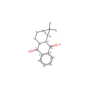 CC1(C)C2CCC3C(=O)c4ccccc4C(=O)C3C21